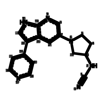 N#CNC1CCN(c2cnc3[nH]cc(-c4ccncc4)c3c2)C1